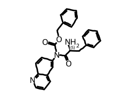 N[C@@H](Cc1ccccc1)C(=O)N(C(=O)OCc1ccccc1)c1ccc2ncccc2c1